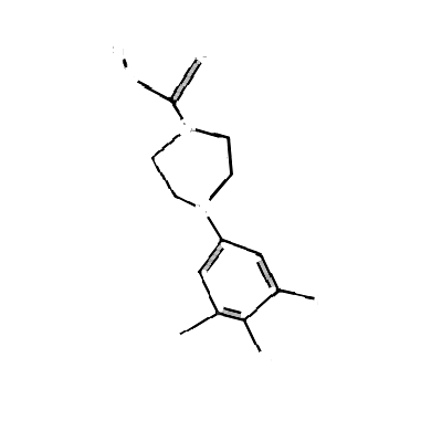 CC(C)(C)OC(=O)N1CCN(c2cc(F)c(C(=O)O)c(F)c2)CC1